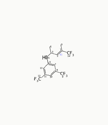 C/C(=C\C(C)Bc1cc(C(F)(F)F)cc(C(F)(F)F)c1)C(F)(F)F